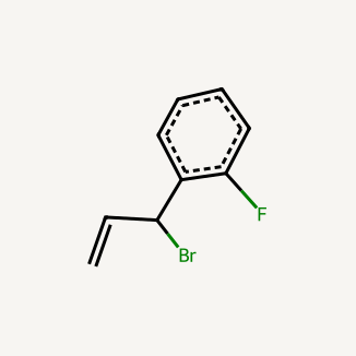 C=CC(Br)c1ccccc1F